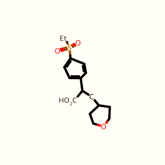 CCS(=O)(=O)c1ccc(C(CC2CCOCC2)C(=O)O)cc1